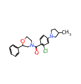 CC1CCN(c2ccc(C(=O)N3CCOC(c4ccccc4)C3)c(Cl)c2)C1